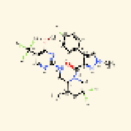 COc1nc(NC[C@@H]2[C@H](C)CC(F)(F)CN2C(=O)c2nn(C)cc2-c2ccc(F)cc2)ncc1C(F)(F)F